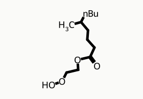 CCCCC(C)CCCC(=O)OCCOO